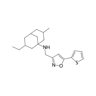 CCC1CC2CC(C)CC(NCc3cc(-c4cccs4)on3)(C1)C2